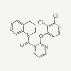 O=C(c1cccnc1Oc1cccc(Cl)c1Cl)N1CCCc2ccccc21